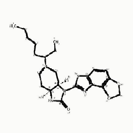 CCCCCC(CC)N1CC[C@@H]2NC(=O)N(c3nc4c5c(ccc4s3)OCO5)[C@@H]2C1